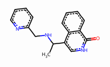 CC(NCc1ccccn1)c1c[nH]c(=O)c2ccccc12